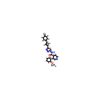 COc1ccccc1-c1cnccc1C(=O)Nc1nnc(C23CC(c4ccc(Cl)cc4)(C2)C3)s1